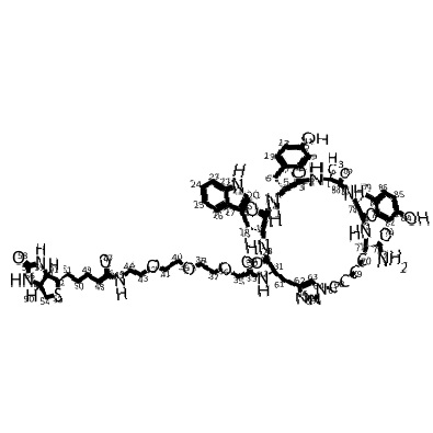 C[C@H]1NC(=O)[C@@H](Cc2ccc(O)cc2)NC(=O)[C@@H](Cc2c[nH]c3ccccc23)NC(=O)[C@@H](NC(=O)COCCOCCOCCNC(=O)CCCC[C@H]2SC[C@H]3NC(=O)N[C@H]32)Cc2cn(nn2)CCCC[C@@H](C(N)=O)NC(=O)[C@@H](Cc2ccc(O)cc2)NC1=O